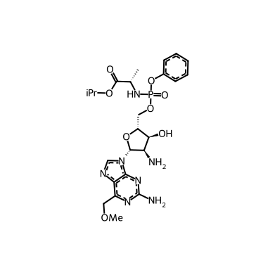 COCc1nc(N)nc2c1ncn2[C@@H]1O[C@H](COP(=O)(N[C@@H](C)C(=O)OC(C)C)Oc2ccccc2)[C@@H](O)[C@H]1N